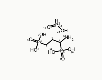 NC(CCP(=O)(O)O)P(=O)(O)O.O=[PH2]O